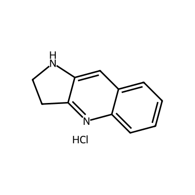 Cl.c1ccc2nc3c(cc2c1)NCC3